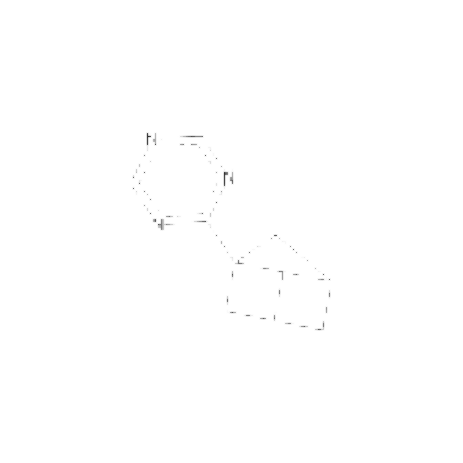 c1ncnc(C23CC4CC(C2)C43)n1